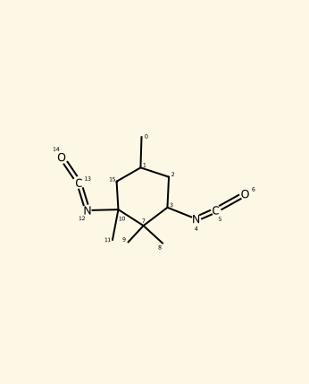 CC1CC(N=C=O)C(C)(C)C(C)(N=C=O)C1